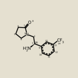 N[C@@H](CN1CCCC1=O)c1cccc(C(F)(F)F)c1